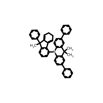 CC1(C)c2cc(-c3ccccc3)ccc2N(c2cccc3c2C2=CCCC=C2C3(C)c2ccccc2)c2ccc(-c3ccccc3)cc21